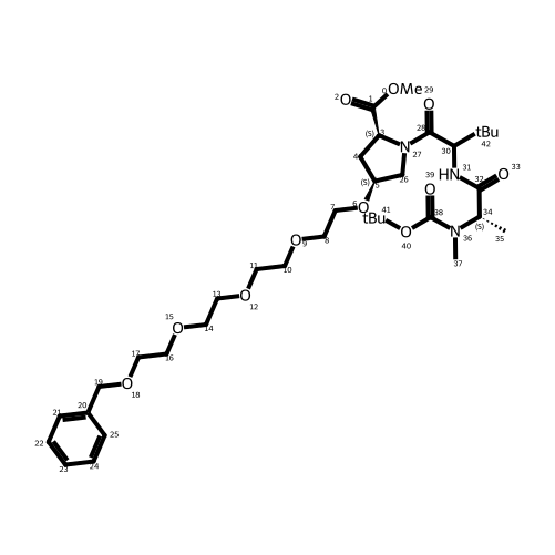 COC(=O)[C@@H]1C[C@H](OCCOCCOCCOCCOCc2ccccc2)CN1C(=O)C(NC(=O)[C@H](C)N(C)C(=O)OC(C)(C)C)C(C)(C)C